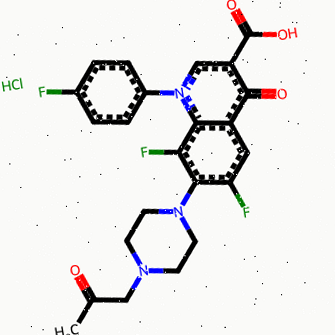 CC(=O)CN1CCN(c2c(F)cc3c(=O)c(C(=O)O)cn(-c4ccc(F)cc4)c3c2F)CC1.Cl